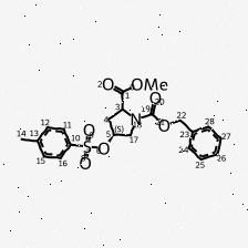 COC(=O)C1C[C@H](OS(=O)(=O)c2ccc(C)cc2)CN1C(=O)OCc1ccccc1